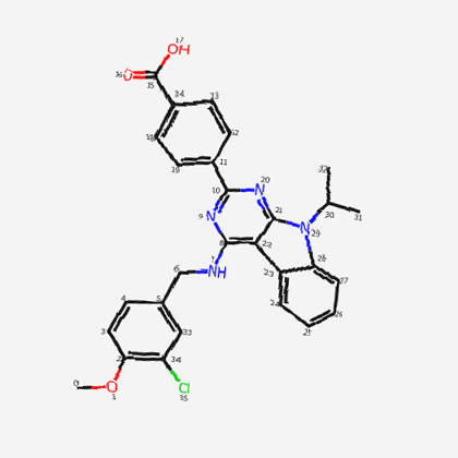 COc1ccc(CNc2nc(-c3ccc(C(=O)O)cc3)nc3c2c2ccccc2n3C(C)C)cc1Cl